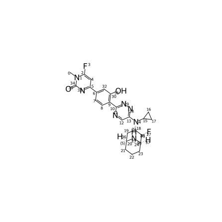 Cn1c(F)cc(-c2ccc(-c3ncc(N(C4CC4)[C@H]4C[C@@H]5CCC[C@@H](N5)[C@H]4F)nn3)c(O)c2)nc1=O